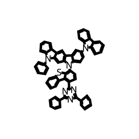 c1ccc(-c2nc(-c3ccccc3)nc(-c3ccc(-n4c5ccc(-n6c7ccccc7c7ccccc76)cc5c5cc6c7ccccc7n(-c7ccccc7)c6cc54)c4sc5ccccc5c34)n2)cc1